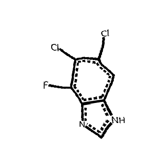 Fc1c(Cl)c(Cl)cc2[nH]cnc12